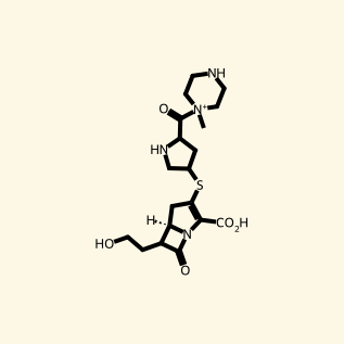 C[N+]1(C(=O)C2CC(SC3=C(C(=O)O)N4C(=O)C(CCO)[C@H]4C3)CN2)CCNCC1